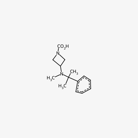 CN(C1CN(C(=O)O)C1)C(C)(C)c1ccccc1